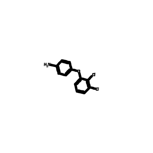 Nc1ccc(Oc2cccc(Cl)c2Cl)cc1